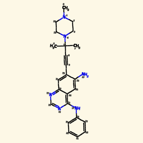 CN1CCN(C(C)(C)C#Cc2cc3ncnc(Nc4ccccc4)c3cc2N)CC1